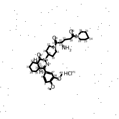 COc1ccc(C2=NN(C3CCN(C(=O)[C@@H](N)CCC(=O)N4CCCCC4)CC3)C(=O)[C@@H]3CCCC[C@H]23)cc1OC.Cl